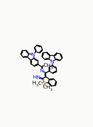 C/C(=N\C(=C1/C(=N)S(C)(C)c2ccccc21)c1cccc(-n2c3ccccc3c3ccccc32)c1)c1ccc2c3ccccc3n(-c3ccccc3)c2c1